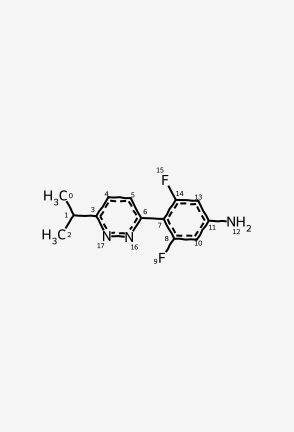 CC(C)c1ccc(-c2c(F)cc(N)cc2F)nn1